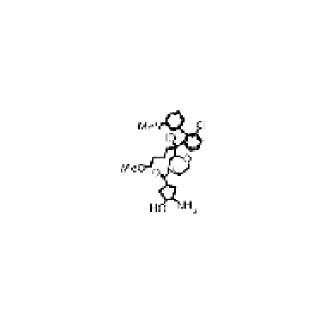 COCCCCC(O)(c1cccc(Cl)c1-c1cccc(SC)c1)C1CN(C(=O)C2CC(N)C(O)C2)CCO1